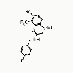 CCN(CC(=O)NCc1ccc(F)cc1)c1ccc(C#N)c(C(F)(F)F)c1